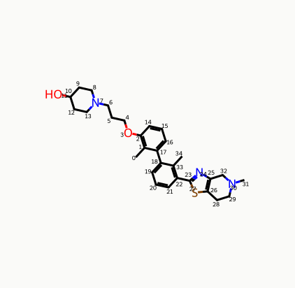 Cc1c(OCCCN2CCC(O)CC2)cccc1-c1cccc(-c2nc3c(s2)CCN(C)C3)c1C